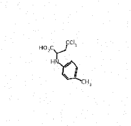 Cc1ccc(NC(CC(Cl)(Cl)Cl)C(=O)O)cc1